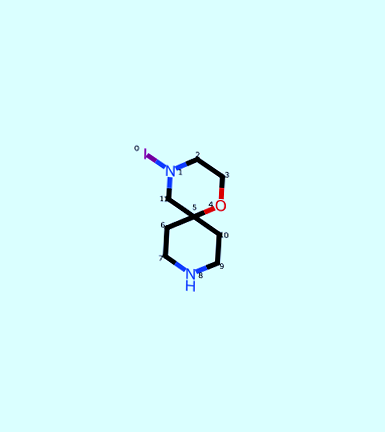 IN1CCOC2(CCNCC2)C1